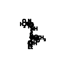 CCc1ccc(-c2cn(CCCNc3ccc([N+](=O)[O-])c(N)n3)cc2NS(C)(=O)=O)cc1